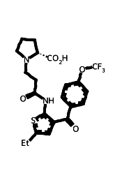 CCc1cc(C(=O)c2ccc(OC(F)(F)F)cc2)c(NC(=O)CCN2CCC[C@@H]2C(=O)O)s1